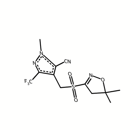 Cn1nc(C(F)(F)F)c(CS(=O)(=O)C2=NOC(C)(C)C2)c1C#N